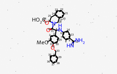 COc1cc(C(Nc2ccc(C(=N)N)cc2)C(=O)N2Cc3ccccc3CC2OC(=O)O)ccc1OCc1ccccc1